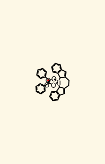 O=C([O][Ti]1([O]C(=O)c2ccccc2)[CH]2C(=Cc3ccccc32)CCC2=Cc3ccccc3[CH]21)c1ccccc1